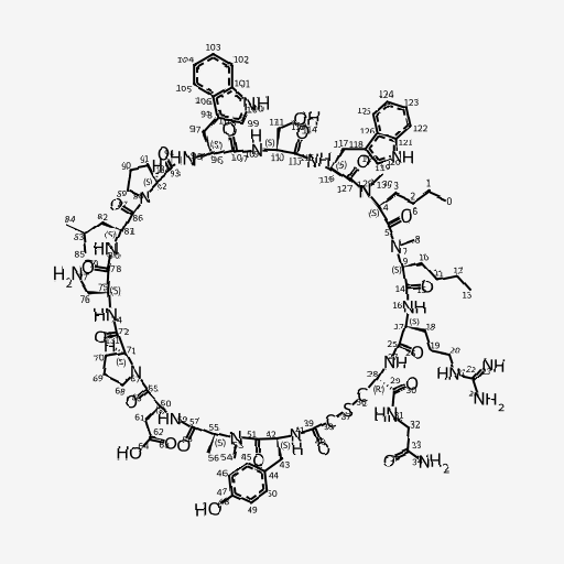 CCCC[C@H]1C(=O)N(C)[C@@H](CCCC)C(=O)N[C@@H](CCCNC(=N)N)C(=O)N[C@H](C(=O)NCC(N)=O)CSCC(=O)N[C@@H](Cc2ccc(O)cc2)C(=O)N(C)[C@@H](C)C(=O)N[C@@H](CC(=O)O)C(=O)N2CCC[C@H]2C(=O)N[C@@H](CN)C(=O)N[C@@H](CC(C)C)C(=O)N2CCC[C@H]2C(=O)N[C@@H](Cc2c[nH]c3ccccc23)C(=O)N[C@@H](CO)C(=O)N[C@@H](Cc2c[nH]c3ccccc23)C(=O)N1C